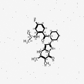 Cc1[nH]c2cc([C@@H]3CCCCN3C(=O)c3ccc(F)cc3N[S+](C)[O-])nn2c(=O)c1C